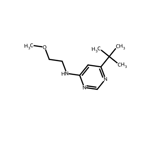 COCCNc1cc(C(C)(C)C)ncn1